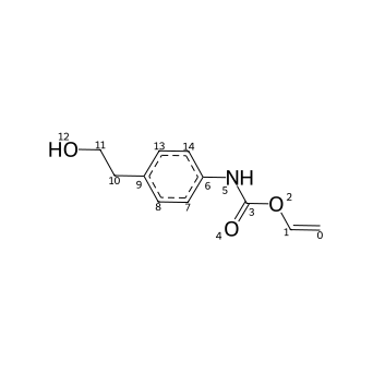 C=COC(=O)Nc1ccc(CCO)cc1